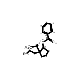 COC(=O)C1(CCC(C)C)CCCC1OC(=O)c1ccccc1